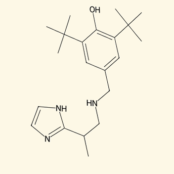 CC(CNCc1cc(C(C)(C)C)c(O)c(C(C)(C)C)c1)c1ncc[nH]1